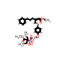 CCC(CC)(C(=O)OC)P(=O)(O)O.COC(=O)C=C(CCCc1ccccc1)CSc1ccc(OC)cc1